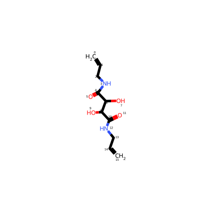 C=CCNC(=O)C(O)C(O)C(=O)NCC=C